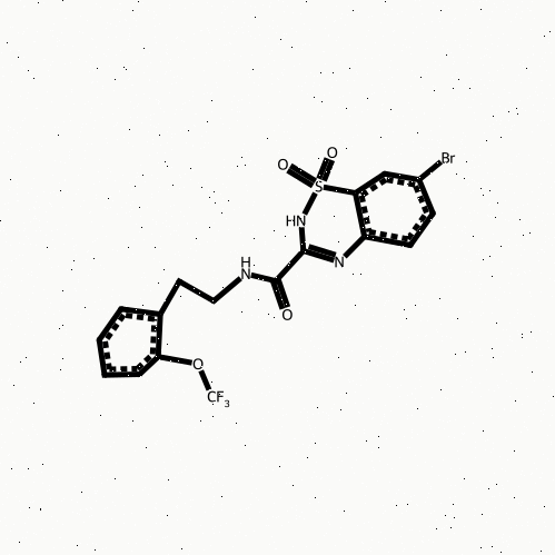 O=C(NCCc1ccccc1OC(F)(F)F)C1=Nc2ccc(Br)cc2S(=O)(=O)N1